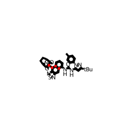 Cc1ccc(-n2nc(C(C)(C)C)cc2NC(=O)Nc2cccc(CC3CC4CCC(C3)N4S(=O)(=O)c3cccc4nsnc34)c2)cc1